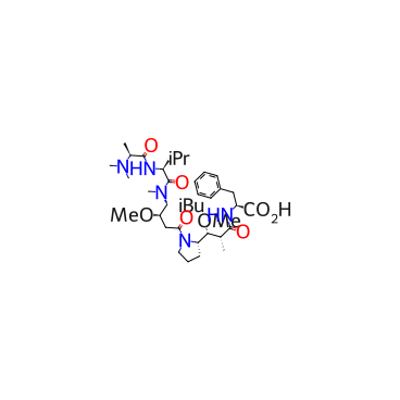 CC[C@H](C)[C@@H]([C@@H](CC(=O)N1CCC[C@H]1[C@H](OC)[C@@H](C)C(=O)N[C@@H](Cc1ccccc1)C(=O)O)OC)N(C)C(=O)[C@@H](NC(=O)[C@H](C)N(C)C)C(C)C